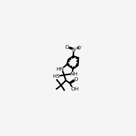 CC(C)(C)C(C(=O)O)C1(S)Nc2ccc([N+](=O)[O-])cc2N1